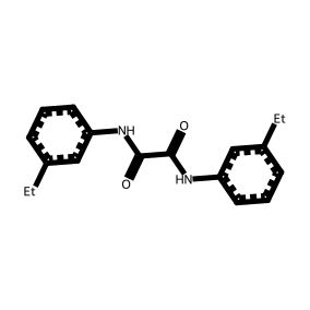 CCc1cccc(NC(=O)C(=O)Nc2cccc(CC)c2)c1